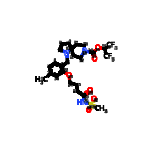 Cc1ccc(CN2CCCC23CCN(C(=O)OC(C(F)(F)F)C(F)(F)F)CC3)c(OCCCC(=O)NS(C)(=O)=O)c1